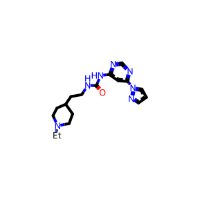 CCN1CCC(CCNC(=O)Nc2cc(-n3cccn3)ncn2)CC1